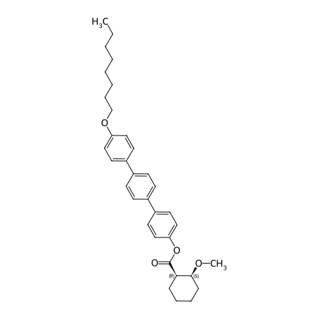 CCCCCCCCOc1ccc(-c2ccc(-c3ccc(OC(=O)[C@@H]4CCCC[C@@H]4OC)cc3)cc2)cc1